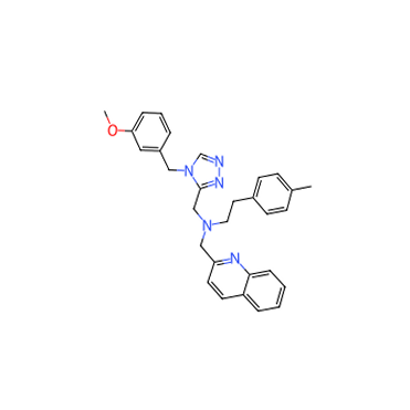 COc1cccc(Cn2cnnc2CN(CCc2ccc(C)cc2)Cc2ccc3ccccc3n2)c1